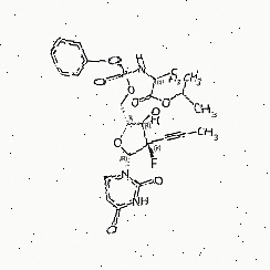 CC#C[C@@]1(F)[C@H](O)[C@@H](COP(=O)(N[C@@H](C)C(=O)OC(C)C)Oc2ccccc2)O[C@H]1n1ccc(=O)[nH]c1=O